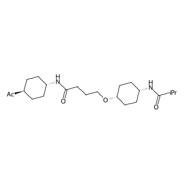 CC(=O)[C@H]1CC[C@H](NC(=O)CCCO[C@H]2CC[C@@H](NC(=O)C(C)C)CC2)CC1